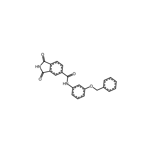 O=C(Nc1cccc(OCc2ccccc2)c1)c1ccc2c(c1)C(=O)NC2=O